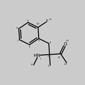 CNC(C)(Cc1ccccc1F)C(C)=O